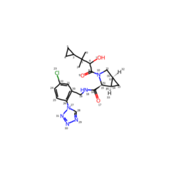 CC(C)(C1CC1)C(O)C(=O)N1C[C@H]2C[C@H]2[C@H]1C(=O)NCc1cc(Cl)ccc1-n1cnnn1